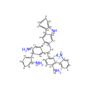 Nc1ccccc1-c1cc(C(Cc2ccc3c(c2)[nH]c2ccccc23)c2ccc(N)c(-c3ccccc3N)c2)ccc1N